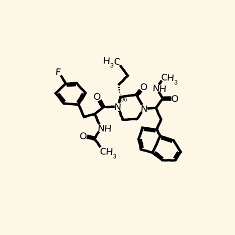 CCC[C@@H]1C(=O)N(C(Cc2cccc3ccccc23)C(=O)NC)CCN1C(=O)C(Cc1ccc(F)cc1)NC(C)=O